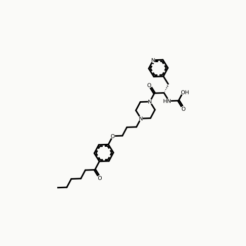 CCCCCC(=O)c1ccc(OCCCN2CCN(C(=O)[C@H](Cc3ccncc3)NC(=O)O)CC2)cc1